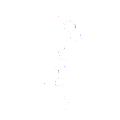 CCOc1cn(CCN(C)C)nc1C(=O)Nc1ccc(Oc2ccnc3cc(OC)c(OC)cc23)cn1